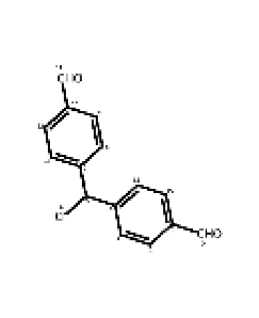 O=Cc1ccc(C(Cl)c2ccc(C=O)cc2)cc1